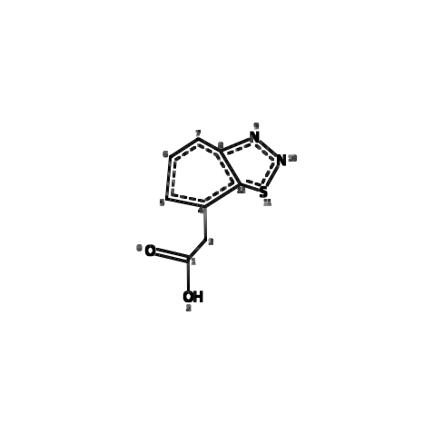 O=C(O)Cc1cccc2nnsc12